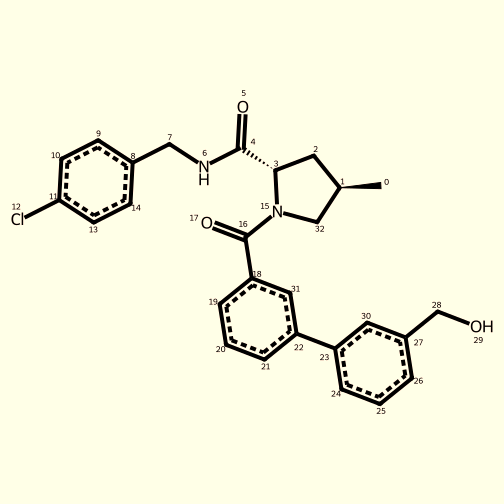 C[C@@H]1C[C@@H](C(=O)NCc2ccc(Cl)cc2)N(C(=O)c2cccc(-c3cccc(CO)c3)c2)C1